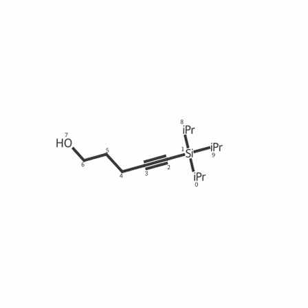 CC(C)[Si](C#CCCCO)(C(C)C)C(C)C